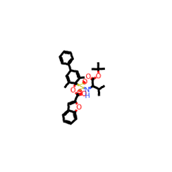 CC1=CC(c2ccccc2)C=C(C)C1(OC(=O)c1cc2ccccc2o1)S(=O)(=O)NC(C(=O)OC(C)(C)C)C(C)C